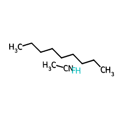 CC#N.CCCCCCCCC.F